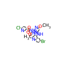 CCOc1cc(Nc2c(NC(=O)NS(=O)(=O)c3ccc(Cl)nc3)c(C)nc3ccc(Br)cc23)ncn1